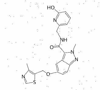 Cc1ncsc1COc1ccc2nn(C)c(C(=O)NCc3cccc(O)n3)c2c1